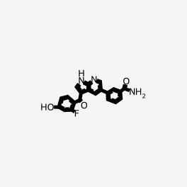 NC(=O)c1cccc(-c2cnc3[nH]cc(C(=O)c4ccc(O)cc4F)c3c2)c1